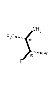 CC(C)[C@H](F)[C@@H](C)C(F)(F)F